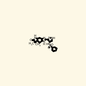 CC1(C)C(=O)Nc2cc3nc(-c4n[nH]cc4NS(=O)(=O)c4ccccc4)[nH]c3cc21